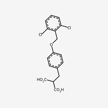 O=C(O)C(Cc1ccc(OCc2c(Cl)cccc2Cl)cc1)C(=O)O